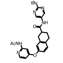 CC(=O)Nc1cc(Oc2ccc3c(c2)CC(C(=O)Nc2cnc(C(C)(C)C)nc2)CC3)ccn1